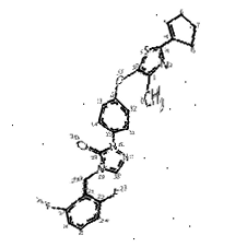 Cc1nc(C2=CCCC2)sc1Oc1ccc(-n2ncn(Cc3c(F)cccc3F)c2=O)cc1